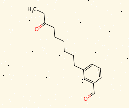 CCC(=O)CCCCCCc1cccc(C=O)c1